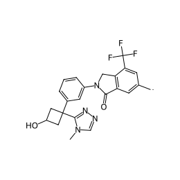 [CH2]c1cc2c(c(C(F)(F)F)c1)CN(c1cccc(C3(c4nncn4C)CC(O)C3)c1)C2=O